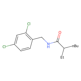 CCCCC(CC)C(=O)NCc1ccc(Cl)cc1Cl